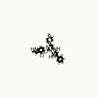 Cc1cc2c(Cl)c(Oc3nc(Nc4cc(-c5ccccc5)[nH]n4)cc(N4CCN(C)CC4)n3)ccc2[nH]1